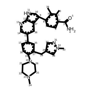 Cc1c(C(N)=O)ccc(-c2c[nH]c3ncc(-c4ccc(N5CCN(C)CC5)c(Cc5cnn(C)c5)c4)cc23)c1C